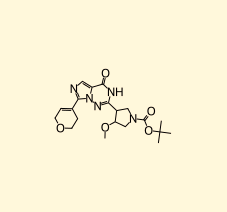 COC1CN(C(=O)OC(C)(C)C)CC1c1nn2c(C3=CCOCC3)ncc2c(=O)[nH]1